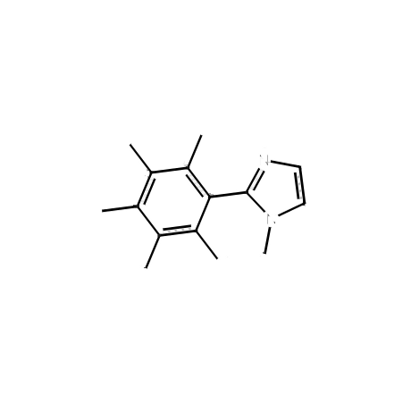 Cc1c(C)c(C)c(-c2nccn2C)c(C)c1C